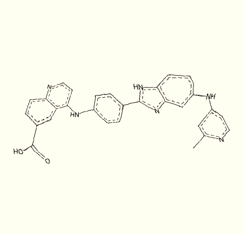 Cc1cc(Nc2ccc3[nH]c(-c4ccc(Nc5ccnc6ccc(C(=O)O)cc56)cc4)nc3c2)ccn1